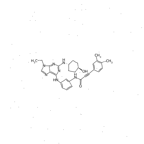 CCn1cnc2c(Nc3cccc(NC(=O)C#Cc4ccc(C)c(C)c4)c3)nc(N[C@H]3CC[C@H](O)CC3)nc21